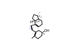 CC1=C(/C=C\C2=CCC[C@]3(C)[C@@H](C)CC[C@@H]23)C[C@@H](O)CC1